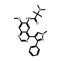 COc1cc2ncnc(-c3cn(C)nc3-c3ccccc3)c2cc1NC(=O)C(C)(C)N(C)C